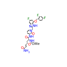 COC(=O)NC(CCC=CC(N)=O)C(=O)Nc1cccn(Cc2nc3cc(F)cc(OCc4ccc(F)cc4F)c3[nH]2)c1=O